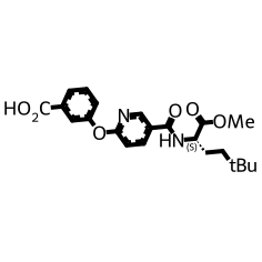 COC(=O)[C@H](CCC(C)(C)C)NC(=O)c1ccc(Oc2cccc(C(=O)O)c2)nc1